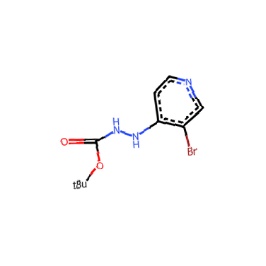 CC(C)(C)OC(=O)NNc1ccncc1Br